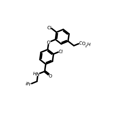 CC(C)CNC(=O)c1ccc(Oc2cc(CC(=O)O)ccc2Cl)c(Cl)c1